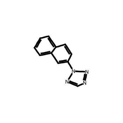 [c]1nnn(-c2ccc3ccccc3c2)n1